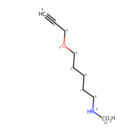 C#CCOCCCCCNC(=O)O